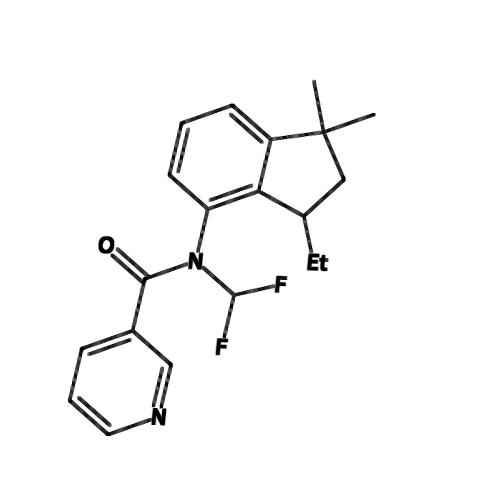 CCC1CC(C)(C)c2cccc(N(C(=O)c3cccnc3)C(F)F)c21